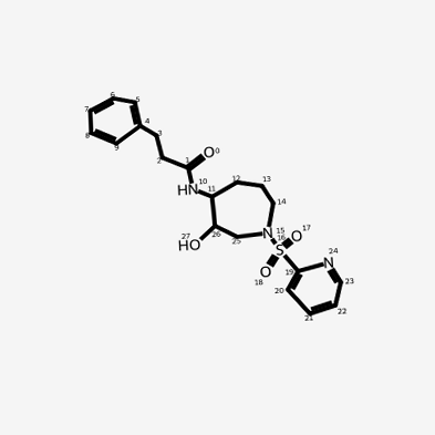 O=C(CCc1ccccc1)NC1CCCN(S(=O)(=O)c2ccccn2)CC1O